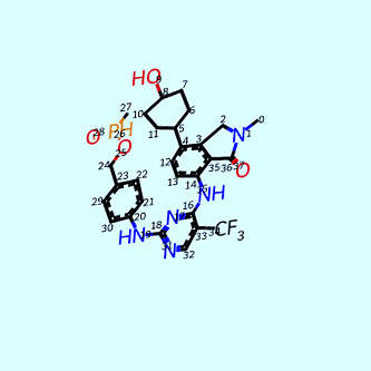 CN1Cc2c(C3CCC(O)CC3)ccc(Nc3nc(Nc4ccc(CO[PH](C)=O)cc4)ncc3C(F)(F)F)c2C1=O